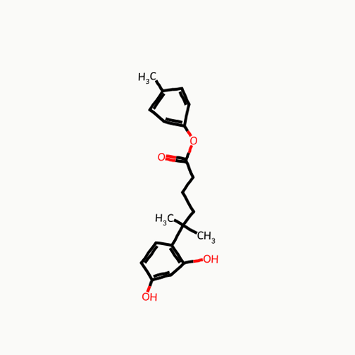 Cc1ccc(OC(=O)CCCC(C)(C)c2ccc(O)cc2O)cc1